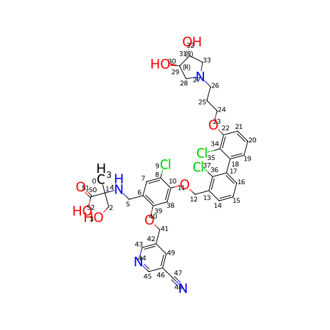 CC(CO)(NCc1cc(Cl)c(OCc2cccc(-c3cccc(OCCCN4C[C@@H](O)[C@H](O)C4)c3Cl)c2Cl)cc1OCc1cncc(C#N)c1)C(=O)O